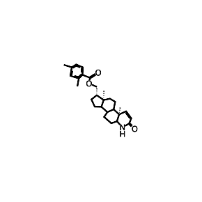 Cc1ccc(C(=O)OC[C@H]2CCC3C4CCC5NC(=O)C=C[C@]5(C)C4CC[C@@]32C)c(C)c1